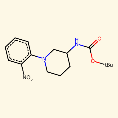 CC(C)(C)OC(=O)NC1CCCN(c2ccccc2[N+](=O)[O-])C1